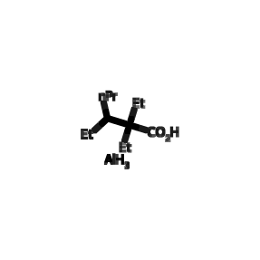 CCCC(CC)C(CC)(CC)C(=O)O.[AlH3]